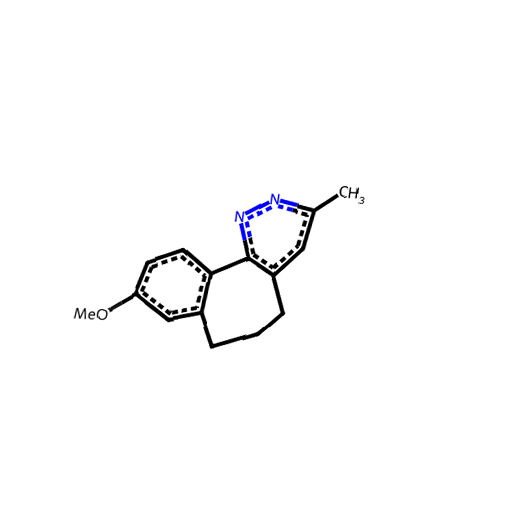 COc1ccc2c(c1)CCCc1cc(C)nnc1-2